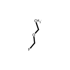 [CH2]COCF